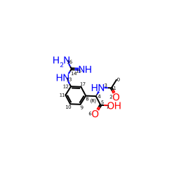 CC(=O)N[C@@H](C(=O)O)c1cccc(NC(=N)N)c1